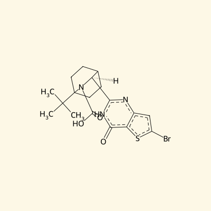 CC(C)(C)C12CCC(CC1)[C@@H](c1nc3cc(Br)sc3c(=O)[nH]1)N2C(=O)O